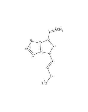 C=CC1CC(C=CCO)C2C=CCC12